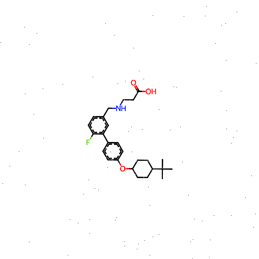 CC(C)(C)C1CCC(Oc2ccc(-c3cc(CNCCC(=O)O)ccc3F)cc2)CC1